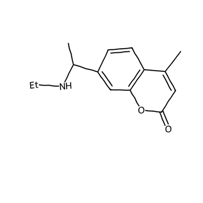 CCNC(C)c1ccc2c(C)cc(=O)oc2c1